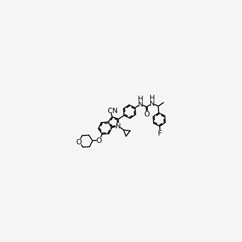 CC(NC(=O)Nc1ccc(-c2c(C#N)c3ccc(OC4CCOCC4)cc3n2C2CC2)cc1)c1ccc(F)cc1